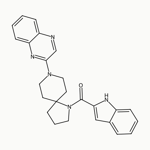 O=C(c1cc2ccccc2[nH]1)N1CCCC12CCN(c1cnc3ccccc3n1)CC2